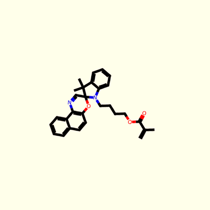 C=C(C)C(=O)OCCCCN1c2ccccc2C(C)(C)C12C=Nc1c(ccc3ccccc13)O2